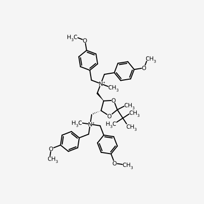 COc1ccc(C[N+](C)(Cc2ccc(OC)cc2)C[C@H]2OC(C)(C(C)(C)C)O[C@@H]2C[N+](C)(Cc2ccc(OC)cc2)Cc2ccc(OC)cc2)cc1